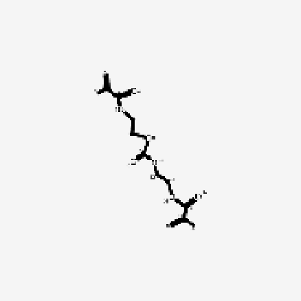 C=C(C)C(=O)OCCOC(=O)OCCOC(=O)C(=C)C